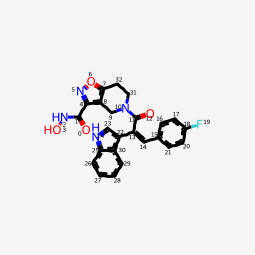 O=C(NO)c1noc2c1CN(C(=O)C(=Cc1ccc(F)cc1)c1c[nH]c3ccccc13)CC2